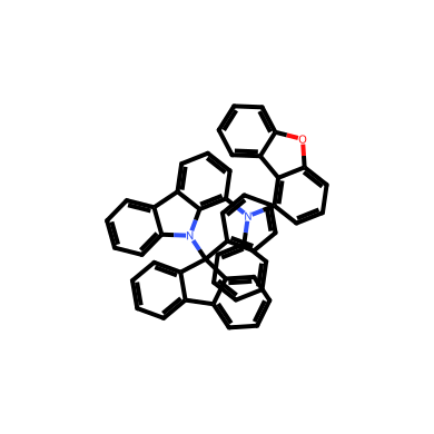 c1ccc(N(c2cccc3oc4ccccc4c23)c2cccc3c4ccccc4n(C4(c5ccccc5)c5ccccc5-c5ccccc54)c23)cc1